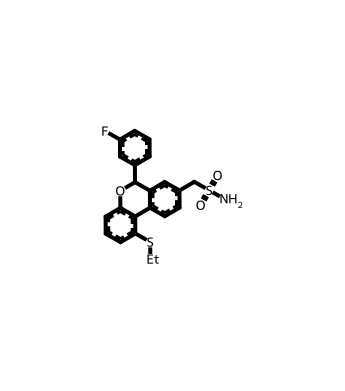 CCSc1cccc2c1-c1ccc(CS(N)(=O)=O)cc1C(c1cccc(F)c1)O2